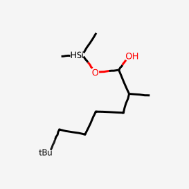 CC(CCCCC(C)(C)C)C(O)O[SiH](C)C